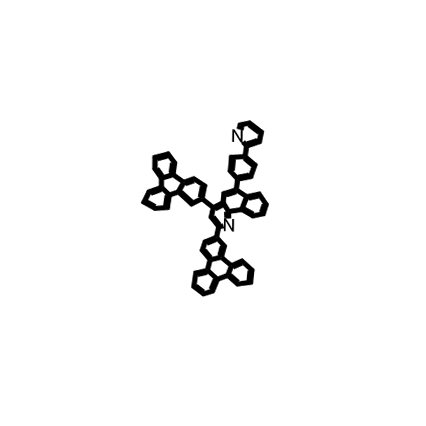 c1ccc(-c2ccc(-c3cc4c(-c5ccc6c7ccccc7c7ccccc7c6c5)cc(-c5ccc6c7ccccc7c7ccccc7c6c5)nc4c4ccccc34)cc2)nc1